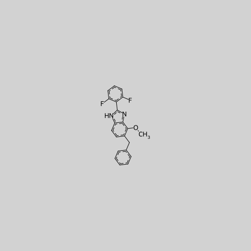 COc1c(Cc2ccccc2)ccc2[nH]c(-c3c(F)cccc3F)nc12